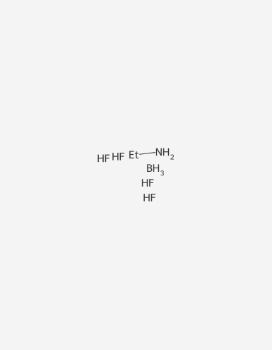 B.CCN.F.F.F.F